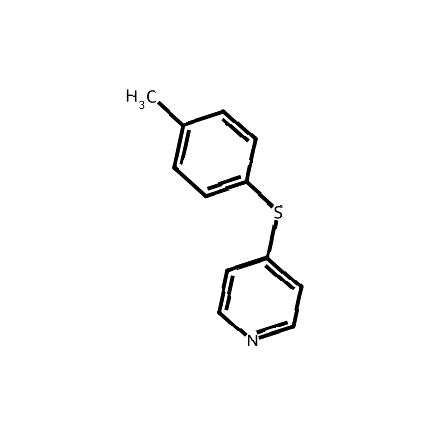 Cc1ccc(Sc2ccncc2)cc1